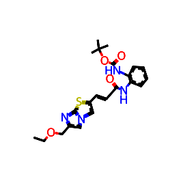 CCOCc1cn2cc(C=CC(=O)Nc3ccccc3NC(=O)OC(C)(C)C)sc2n1